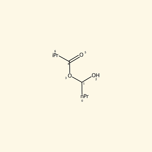 CCCC(O)OC(=O)C(C)C